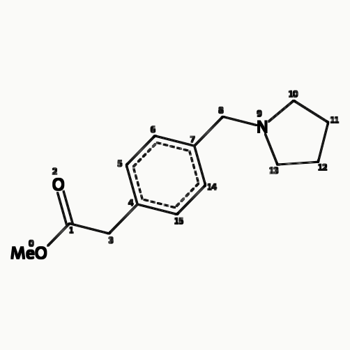 COC(=O)Cc1ccc(CN2CCCC2)cc1